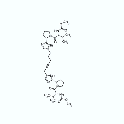 COC(=O)N[C@@H](C(=O)N1CCC[C@H]1c1ncc(CC#CCCCc2cnc([C@@H]3CCCN3C(=O)[C@H](NC(=O)OC)C(C)C)[nH]2)[nH]1)C(C)C